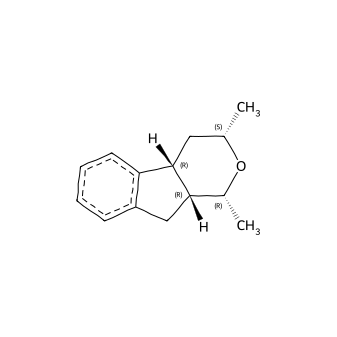 C[C@H]1C[C@H]2c3ccccc3C[C@H]2[C@@H](C)O1